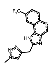 Cn1cc(Cc2nc3cnc4ccc(C(F)(F)F)cc4c3[nH]2)nn1